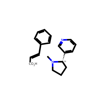 CN1CCC[C@H]1c1cccnc1.O=C(O)C=Cc1ccccc1